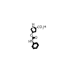 O=C(Nc1ccccc1)O[C@H]1CN[C@H](C(=O)O)C1